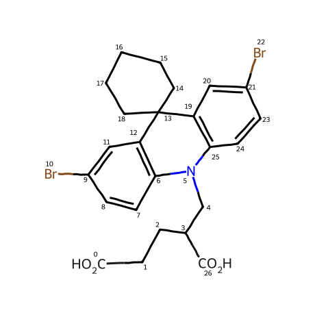 O=C(O)CCC(CN1c2ccc(Br)cc2C2(CCCCC2)c2cc(Br)ccc21)C(=O)O